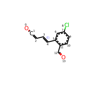 O=C=C/C=C/c1cc(Cl)ccc1C=O